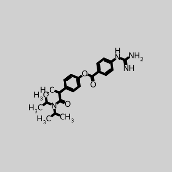 CC(C(=O)N(C(C)C)C(C)C)c1ccc(OC(=O)c2ccc(NC(=N)N)cc2)cc1